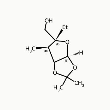 CC[C@@]1(CO)O[C@H]2OC(C)(C)OC2[C@H]1C